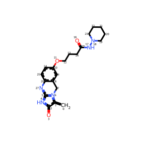 C=c1c(=O)[nH]c2n1Cc1cc(OCCCC(=O)NN3CCCCC3)ccc1N=2